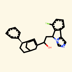 OC(CC1c2c(F)cccc2-c2cncn21)C1=C=C2CC(CC[C@H]2c2ccccc2)C1